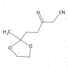 CC1(CCC(=O)CC#N)OCCO1